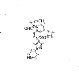 CC1CCc2c(ccc(-c3cnn(C4CCNCC4)c3)c2OC2CCC2)N1C1(C=O)CC1